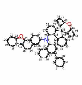 c1ccc(-c2ccc(N(c3ccc4c(ccc5c6ccccc6oc45)c3)c3cccc4c3-c3ccccc3C43c4ccccc4Oc4ccccc43)c3ccccc23)cc1